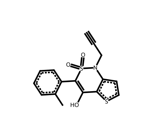 C#CCN1c2ccsc2C(O)=C(c2ccccc2C)S1(=O)=O